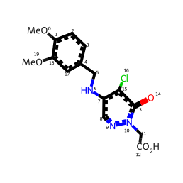 COc1ccc(CNc2cnn(CC(=O)O)c(=O)c2Cl)cc1OC